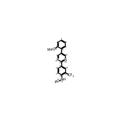 COc1ccccc1-c1cnc(-c2ccc(NC(C)C)c(C(F)(F)F)c2)nc1